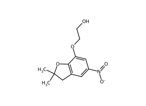 CC1(C)Cc2cc([N+](=O)[O-])cc(OCCO)c2O1